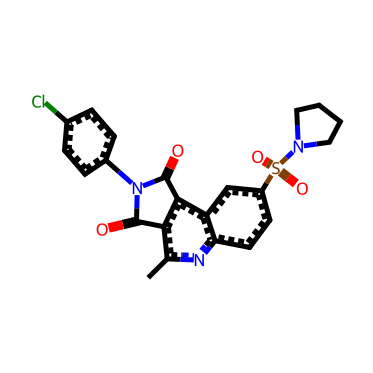 Cc1nc2ccc(S(=O)(=O)N3CCCC3)cc2c2c1C(=O)N(c1ccc(Cl)cc1)C2=O